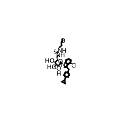 COCCCNC(=S)NC[C@H]1O[C@@H](n2cc(Cc3ccc(C4CC4)cc3)c3c(Cl)cccc32)[C@H](O)[C@@H](O)[C@@H]1O